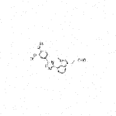 CCOc1ccc(-c2nc(-c3cccc4c(CCC=O)cn(C)c34)no2)cc1OCC